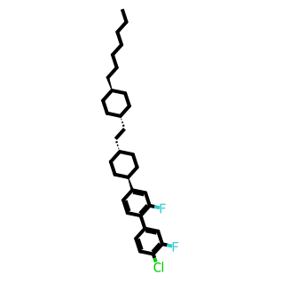 CCCCCCC[C@H]1CC[C@H](CC[C@H]2CC[C@H](c3ccc(-c4ccc(Cl)c(F)c4)c(F)c3)CC2)CC1